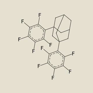 Fc1c(F)c(F)c(C23CC4CC(C2)CC(c2c(F)c(F)c(F)c(F)c2F)(C4)C3)c(F)c1F